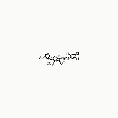 CC(=O)c1ccc[n+](CC2=C(C(=O)O)N3C(=O)[C@H](NC(=O)CSc4cc(Cl)c(Cl)cc4Cl)[C@H]3SC2)c1